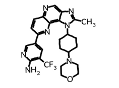 Cc1nc2cnc3ccc(-c4cnc(N)c(C(F)(F)F)c4)nc3c2n1C1CCC(N2CCOCC2)CC1